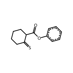 O=C(Oc1ccccc1)C1CCCCC1=S